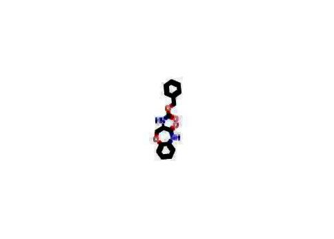 O=C(N[C@H]1COc2ccccc2NC1=O)OCc1ccccc1